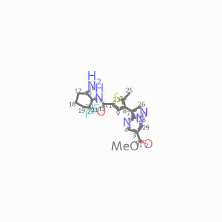 COC(=O)c1cnc2c(-c3cc(C(=O)NC4C(N)CCCC4(F)F)sc3C)cnn2c1